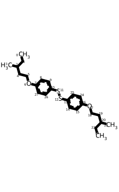 CCC(C)CCOc1ccc(SSc2ccc(OCCC(C)CC)cc2)cc1